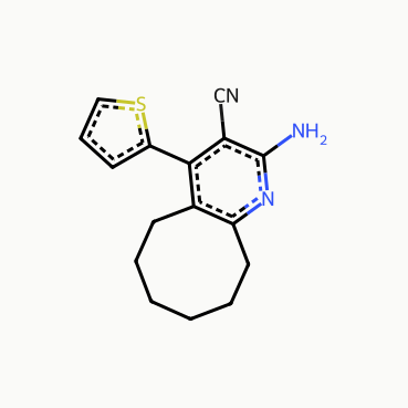 N#Cc1c(N)nc2c(c1-c1cccs1)CCCCCC2